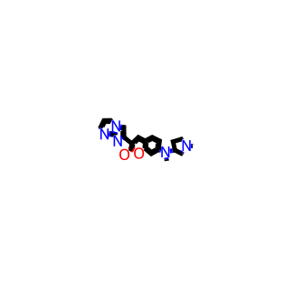 CN1CCC(N(C)c2ccc3cc(-c4cn5cccnc5n4)c(=O)oc3c2)C1